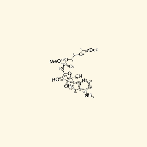 CCCCCCCCCCCOCCOP(=O)(OC)O[C@H]1O[C@@](C#N)(c2ccc3c(N)ncnn23)[C@H](O)[C@@H]1O